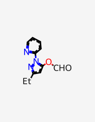 CCc1cc(OC=O)n(-c2ccccn2)n1